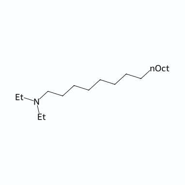 CCCCCCCCCCCCCCCCN(CC)CC